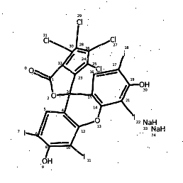 O=C1OC2(c3cc(I)c(O)c(I)c3Oc3c2cc(I)c(O)c3I)c2c(Cl)c(Cl)c(Cl)c(Cl)c21.[NaH].[NaH]